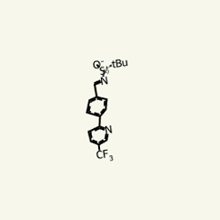 CC(C)(C)[S@+]([O-])N=Cc1ccc(-c2ccc(C(F)(F)F)cn2)cc1